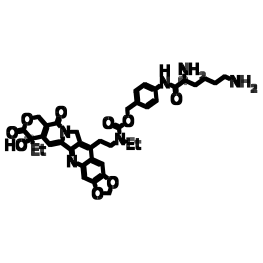 CCN(CCc1c2c(nc3cc4c(cc13)OCO4)-c1cc3c(c(=O)n1C2)COC(=O)[C@]3(O)CC)C(=O)OCc1ccc(NC(=O)[C@@H](N)CCCCN)cc1